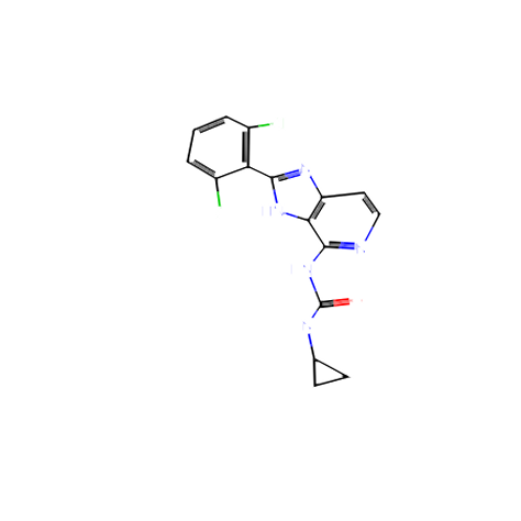 O=C(Nc1nccc2nc(-c3c(Cl)cccc3Cl)[nH]c12)NC1CC1